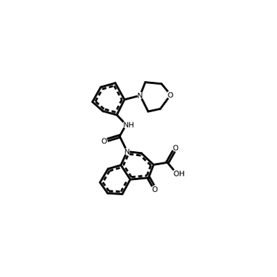 O=C(O)c1cn(C(=O)Nc2ccccc2N2CCOCC2)c2ccccc2c1=O